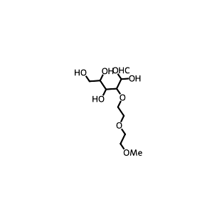 COCCOCCOC(C(O)C=O)C(O)C(O)CO